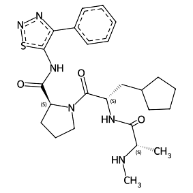 CN[C@@H](C)C(=O)N[C@@H](CC1CCCC1)C(=O)N1CCC[C@H]1C(=O)Nc1snnc1-c1ccccc1